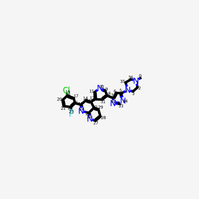 CN1CCN(c2cc(-c3cncc(-c4cc(-c5cc(Cl)ccc5F)nc5ncccc45)c3)ncn2)CC1